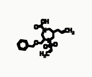 C=CCC1CN(C(=O)O)CC(COCc2ccccc2)N(S(=O)(=O)C=C)C1